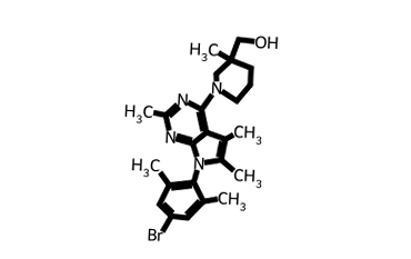 Cc1nc(N2CCCC(C)(CO)C2)c2c(C)c(C)n(-c3c(C)cc(Br)cc3C)c2n1